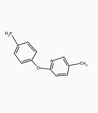 Cc1ccc(Oc2ccc(P)cc2)nc1